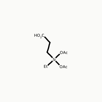 CC[Si](CCC(=O)O)(OC(C)=O)OC(C)=O